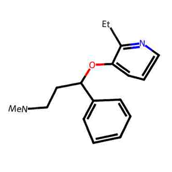 CCc1ncccc1OC(CCNC)c1ccccc1